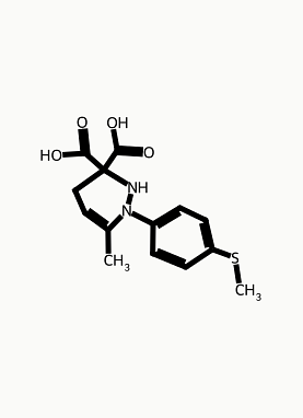 CSc1ccc(N2NC(C(=O)O)(C(=O)O)CC=C2C)cc1